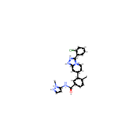 Cc1ccc(C(=O)Nc2ccnn2C)cc1-c1ccn2c(-c3ccccc3Cl)nnc2c1